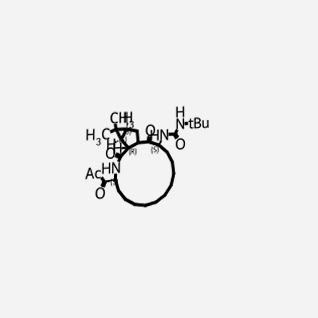 CC(=O)C(=O)[C@@H]1CCCCCCCCCC[C@H](NC(=O)NC(C)(C)C)C(=O)C2C[C@H]3[C@@H]([C@H]2C(=O)N1)C3(C)C